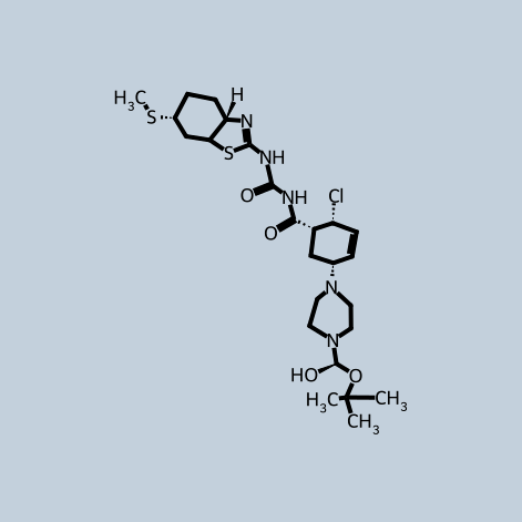 CS[C@@H]1CC[C@@H]2N=C(NC(=O)NC(=O)[C@H]3C[C@@H](N4CCN([C@H](O)OC(C)(C)C)CC4)C=C[C@H]3Cl)SC2C1